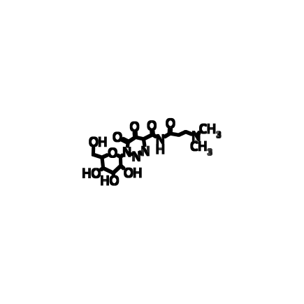 CN(C)CCC(=O)NC(=O)C1N=NN(C2OC(CO)C(O)C(O)C2O)C(=O)C1=O